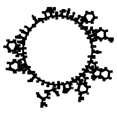 CCCC[C@H]1C(=O)N(C)CC(=O)N[C@@H](CC(=O)O)C(=O)N[C@@H](C(C)C)C(=O)N(C)[C@@H](Cc2ccccc2)C(=O)N[C@@H](Cc2ccc(O)cc2)C(=O)N(C)CC(=O)N[C@@H](Cc2c[nH]c3ccccc23)C(=O)N[C@@H](Cc2ccc(O)cc2)C(=O)N[C@@H](CC(C)C)C(=O)N[C@H](C(=O)NCC(N)=O)CSCC(=O)N[C@@H](Cc2cccnc2)C(=O)N(C)[C@@H](Cc2ccccc2)C(=O)N1C